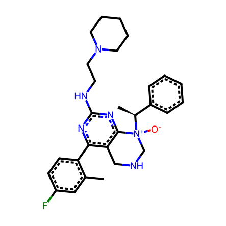 Cc1cc(F)ccc1-c1nc(NCCN2CCCCC2)nc2c1CNC[N+]2([O-])[C@@H](C)c1ccccc1